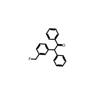 O=C(c1ccccc1)C(c1ccccc1)c1cccc(CF)c1